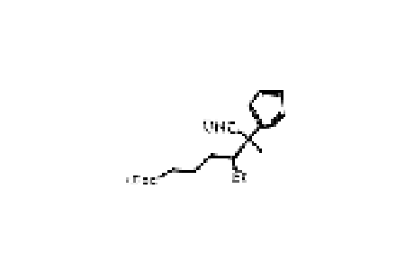 CCCCCCCCCCCCCC(CC)C(C)(C=O)c1ccccc1